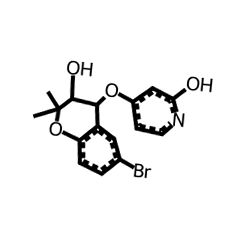 CC1(C)Oc2ccc(Br)cc2C(Oc2ccnc(O)c2)C1O